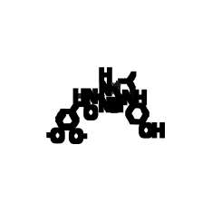 COc1ccc(CC(=O)NC(=N)N[C@H](CC(C)C)C(=O)NC2CCC(O)CC2)cc1OC